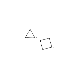 [CH]1CC1.[CH]1CCC1